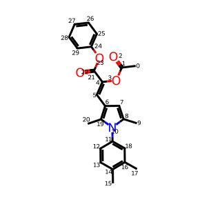 CC(=O)OC(=Cc1cc(C)n(-c2ccc(C)c(C)c2)c1C)C(=O)Oc1ccccc1